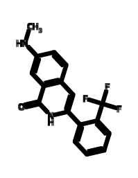 CNc1ccc2cc(-c3ccccc3C(F)(F)F)[nH]c(=O)c2c1